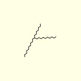 CCCCCCCCCCC(CCCCCCC)CCCCCCCCCC